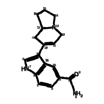 NC(=O)c1ccc2[nH]cc(C3=CCN4CCCC4C3)c2c1